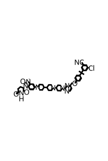 Cn1c(=O)n(C2CCC(=O)NC2=O)c2ccc(N3CCC(C4CCN(C5CCN(c6nccc(COc7ccc(C(C)(C)c8cc(Cl)cc(C#N)c8)cc7)n6)CC5)CC4)CC3)cc21